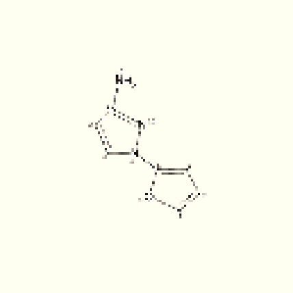 Nc1ccn(-c2ccco2)n1